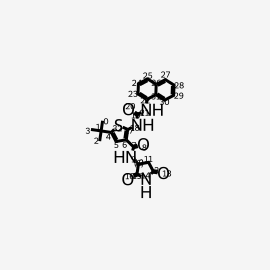 CC(C)(C)c1cc(C(=O)N[C@H]2CC(=O)NC2=O)c(NC(=O)Nc2cccc3ccccc23)s1